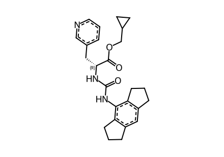 O=C(Nc1c2c(cc3c1CCC3)CCC2)N[C@H](Cc1cccnc1)C(=O)OCC1CC1